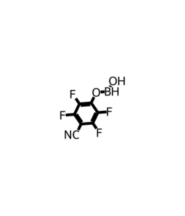 N#Cc1c(F)c(F)c(OBO)c(F)c1F